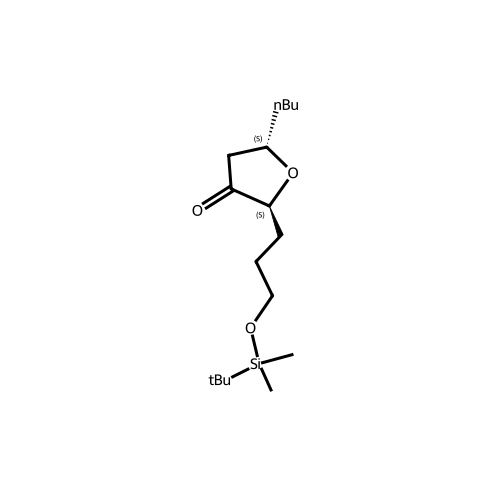 CCCC[C@H]1CC(=O)[C@H](CCCO[Si](C)(C)C(C)(C)C)O1